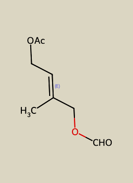 CC(=O)OC/C=C(\C)COC=O